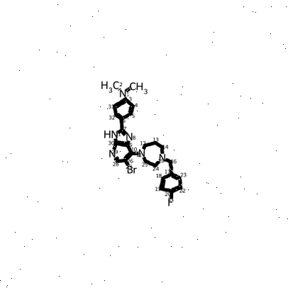 CN(C)c1ccc(-c2nc3c(N4CCCN(Cc5ccc(F)cc5)CC4)c(Br)cnc3[nH]2)cc1